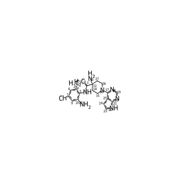 C=C(Nc1c(C)cc(Cl)cc1N)C1(N)CCN(c2ncnc3[nH]ccc23)CC1